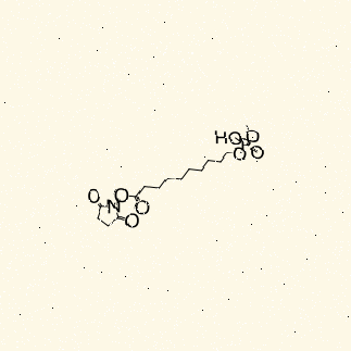 COP(=O)(O)OCCCCCCCCCC(=O)ON1C(=O)CCC1=O